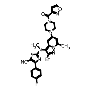 CCc1nn2c(C)cc(N3CCN(C(=O)c4ccon4)CC3)cc2c1N(C)c1nc(-c2ccc(F)cc2)c(C#N)s1